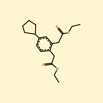 CCOC(=O)Cc1ccc(C2CCCC2)cc1CC(=O)OCC